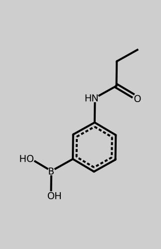 CCC(=O)Nc1cccc(B(O)O)c1